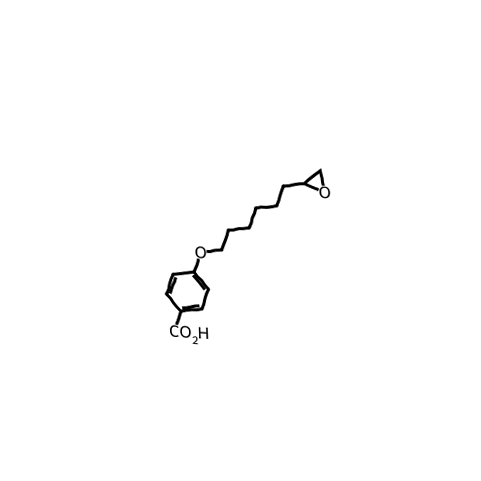 O=C(O)c1ccc(OCCCCCCC2CO2)cc1